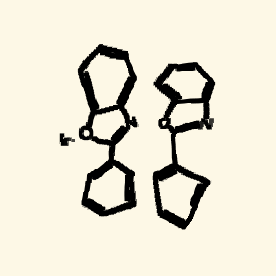 [Ir].c1ccc(-c2nc3ccccc3o2)cc1.c1ccc(-c2nc3ccccc3o2)cc1